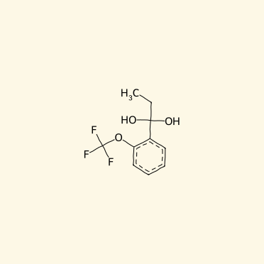 CCC(O)(O)c1ccccc1OC(F)(F)F